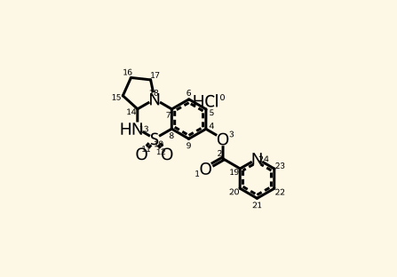 Cl.O=C(Oc1ccc2c(c1)S(=O)(=O)NC1CCCN21)c1ccccn1